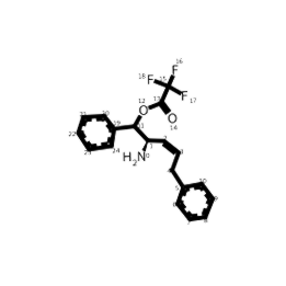 N[C@H](/C=C\Cc1ccccc1)C(OC(=O)C(F)(F)F)c1ccccc1